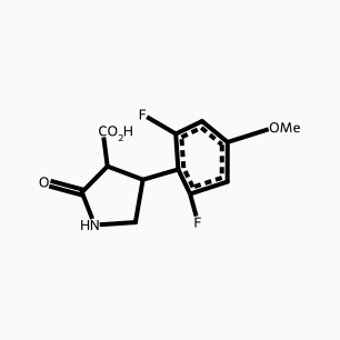 COc1cc(F)c(C2CNC(=O)C2C(=O)O)c(F)c1